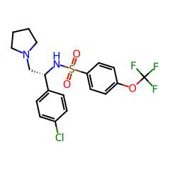 O=S(=O)(N[C@@H](CN1CCCC1)c1ccc(Cl)cc1)c1ccc(OC(F)(F)F)cc1